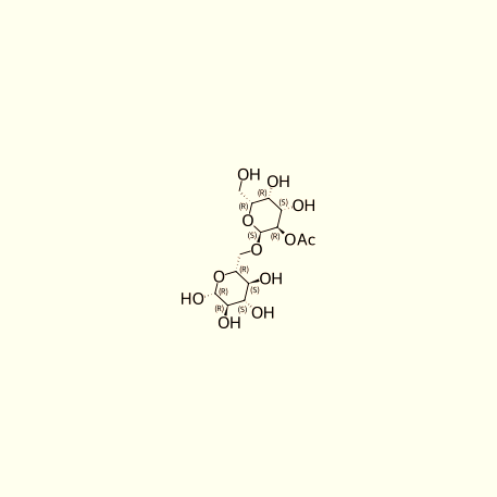 CC(=O)O[C@H]1[C@@H](OC[C@H]2O[C@@H](O)[C@H](O)[C@@H](O)[C@@H]2O)O[C@H](CO)[C@H](O)[C@@H]1O